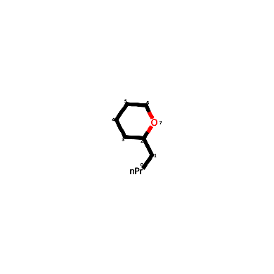 CCCCC1CCCCO1